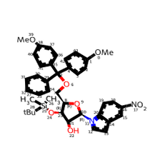 COc1ccc(C(OC[C@H]2O[C@@H](n3ccc4cc([N+](=O)[O-])ccc43)C(O)[C@H]2O[Si](C)(C)C(C)(C)C)(c2ccccc2)c2ccc(OC)cc2)cc1